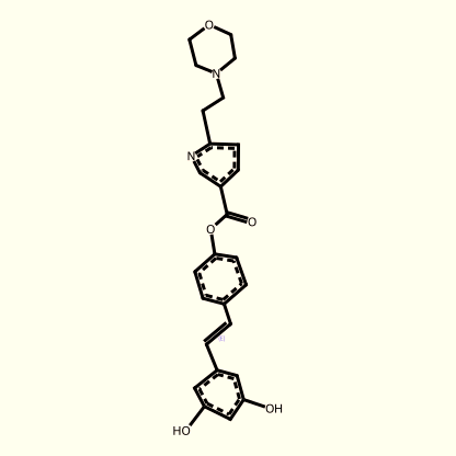 O=C(Oc1ccc(/C=C/c2cc(O)cc(O)c2)cc1)c1ccc(CCN2CCOCC2)nc1